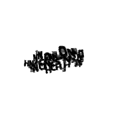 C[C@@H](NC(=O)c1ncnc(-c2ncc[nH]2)c1Cl)c1ncc(C(=O)Nc2cc(C(F)(F)F)c(Cl)cn2)s1